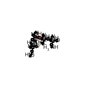 CN(C)C(=O)c1ccccc1-c1cc(N2CCOCC2)nc2c(-c3ccn[nH]3)nccc12.Cc1ccncc1-c1cc(N2CCOCC2)nc2c(-c3ccn[nH]3)nccc12.O=C(NC1CC1)c1ccc(-c2cc(N3CCOCC3)nc3c(-c4ccn[nH]4)nccc23)cc1.c1cc(-c2nccc3c(-c4ccc5cc[nH]c5c4)cc(N4CCOCC4)nc23)[nH]n1